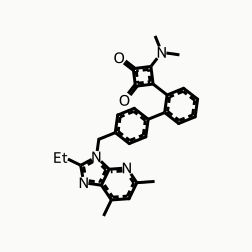 CCc1nc2c(C)cc(C)nc2n1Cc1ccc(-c2ccccc2-c2c(N(C)C)c(=O)c2=O)cc1